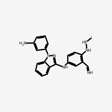 N=Cc1cc(Nc2nn(-c3cccc(N)c3)c3ccccc23)ccc1NPI